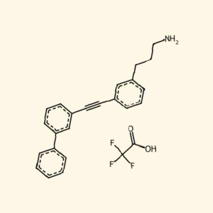 NCCCc1cccc(C#Cc2cccc(-c3ccccc3)c2)c1.O=C(O)C(F)(F)F